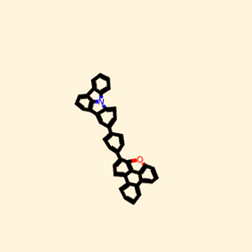 c1ccc2c(c1)c1cccc3oc4c(-c5ccc(-c6ccc7c(c6)c6cccc8c9ccccc9n7c86)cc5)ccc2c4c31